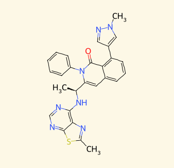 Cc1nc2c(N[C@@H](C)c3cc4cccc(-c5cnn(C)c5)c4c(=O)n3-c3ccccc3)ncnc2s1